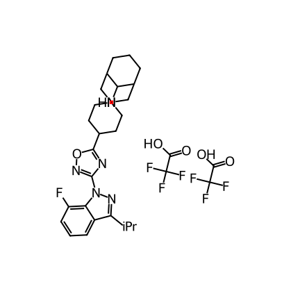 CC(C)c1nn(-c2noc(C3CCN(C4C5CCCC4CNC5)CC3)n2)c2c(F)cccc12.O=C(O)C(F)(F)F.O=C(O)C(F)(F)F